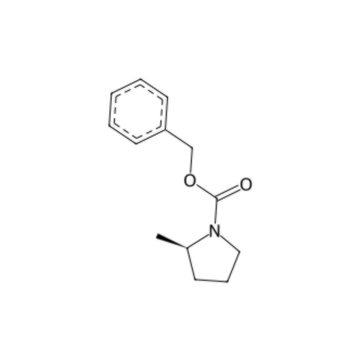 C[C@@H]1CCCN1C(=O)OCc1ccccc1